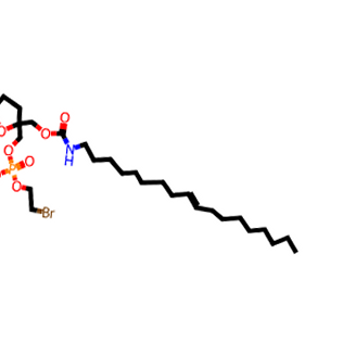 CCCCCCCCC=CCCCCCCCCNC(=O)OCC1(COP(=O)(O)OCCBr)CCCO1